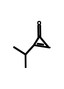 CC(C)c1[c]c1=O